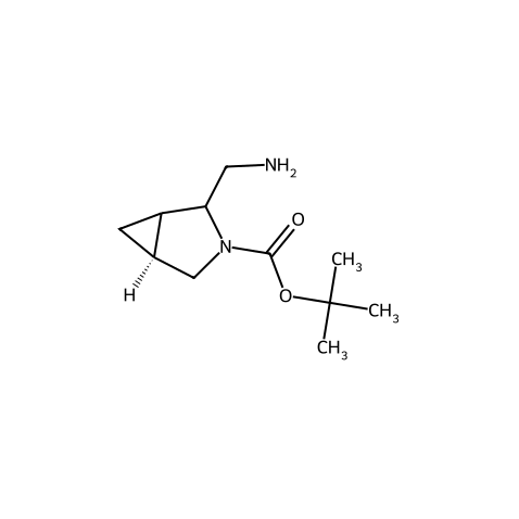 CC(C)(C)OC(=O)N1C[C@H]2CC2C1CN